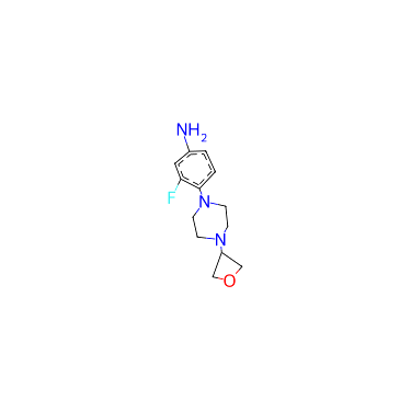 Nc1ccc(N2CCN(C3COC3)CC2)c(F)c1